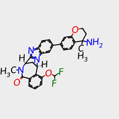 CN1C(=O)c2cccc(OC(F)F)c2[C@H]2C[C@@H]1c1nc3ccc(-c4ccc5c(c4)OCCC5(C)N)cc3n12